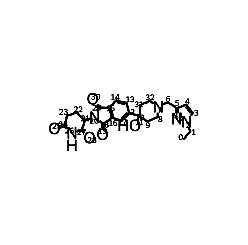 CCn1ccc(CN2CCC(O)(c3ccc4c(c3)C(=O)N(C3CCC(=O)NC3=O)C4=O)CC2)n1